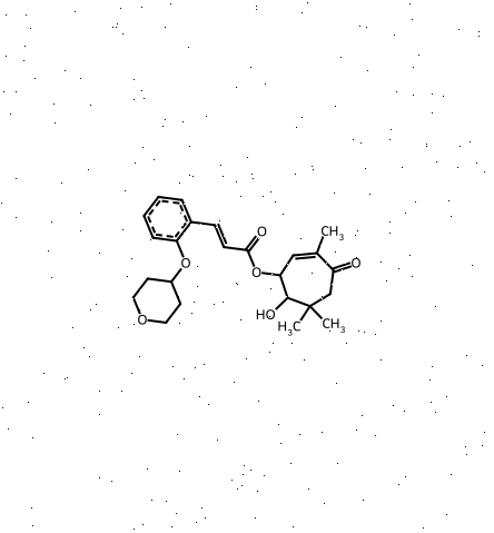 CC1=CC(OC(=O)C=Cc2ccccc2OC2CCOCC2)C(O)C(C)(C)CC1=O